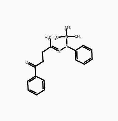 CC(CCC(=O)c1ccccc1)=NN(c1ccccc1)[Si](C)(C)C